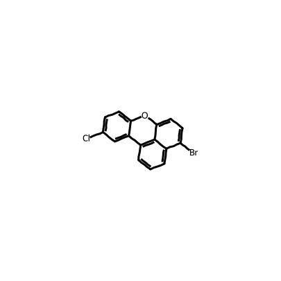 Clc1ccc2c(c1)-c1cccc3c(Br)ccc(c13)O2